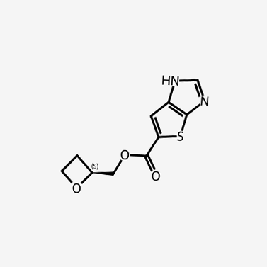 O=C(OC[C@@H]1CCO1)c1cc2[nH]cnc2s1